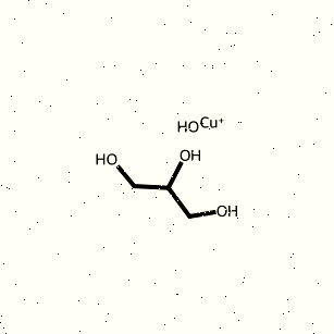 OCC(O)CO.[Cu+].[OH-]